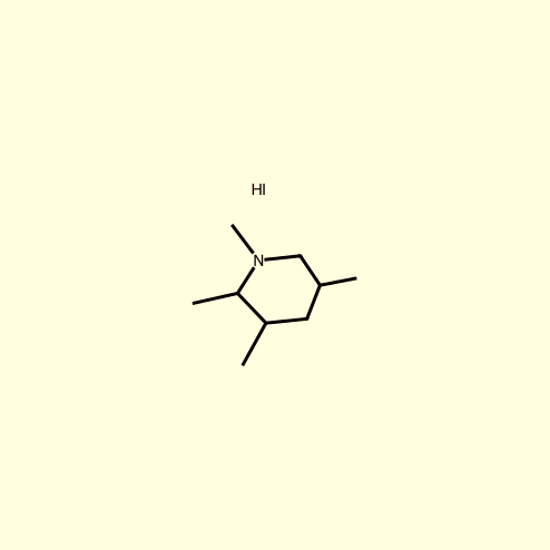 CC1CC(C)C(C)N(C)C1.I